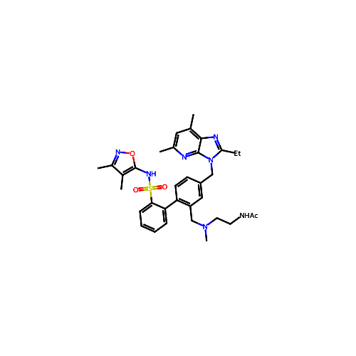 CCc1nc2c(C)cc(C)nc2n1Cc1ccc(-c2ccccc2S(=O)(=O)Nc2onc(C)c2C)c(CN(C)CCNC(C)=O)c1